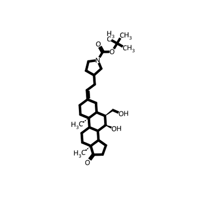 CC(C)(C)OC(=O)N1CCC(CC=C2CC[C@]3(C)C4CC[C@]5(C)C(=O)CCC5C4[C@H](O)[C@H](CO)C3C2)C1